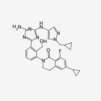 Nc1nc(Nc2cnn(CC3CC3)c2)nc(-c2cccc(N3CCc4cc(C5CC5)cc(F)c4C3=O)c2CO)n1